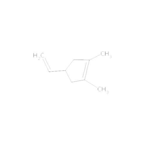 C=CC1CC(C)=C(C)C1